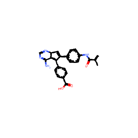 C=C(C)C(=O)Nc1ccc(C2=CC3N=CN=C(N)C3=C2c2ccc(C(=O)O)cc2)cc1